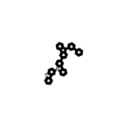 c1ccc(-c2cccc(C3c4ccccc4-c4cc(-c5ccc6c(c5)c5ccccc5n6-c5ccc6sc7ccccc7c6c5)ccc43)c2)cc1